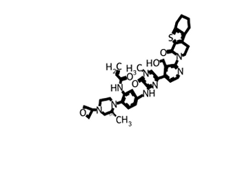 C=CC(=O)Nc1cc(Nc2nc(-c3ccnc(N4CCc5c(sc6c5CCCC6)C4=O)c3CO)cn(C)c2=O)ccc1N1CCN(C2COC2)C[C@@H]1C